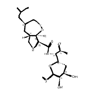 CSC1O[C@H]([C@H](NC(=O)[C@H]2NC[C@@H]3C[C@@H](CC(C)C)CCO[C@H]32)[C@H](C)Cl)C[C@@H](O)[C@H]1O